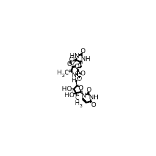 COC(=O)[C@@H](C)NP(=O)(OC[C@H]1O[C@@H](n2ccc(=O)[nH]c2=O)[C@](C)(O)[C@@H]1O)SC[C@@H]1NC(=O)NC1=O